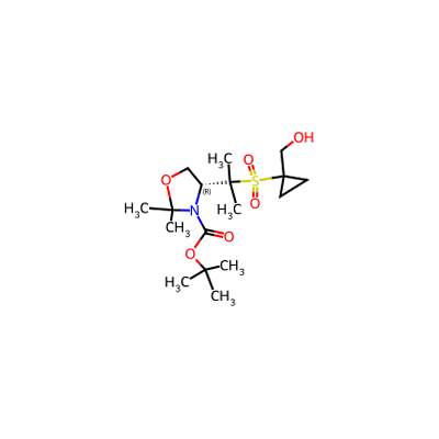 CC(C)(C)OC(=O)N1[C@@H](C(C)(C)S(=O)(=O)C2(CO)CC2)COC1(C)C